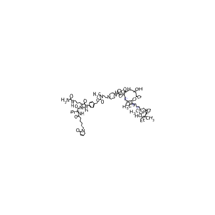 CC[C@H](O)[C@@H](C)[C@H]1O[C@@H]1CC(C)(O)/C=C/C=C(\C)[C@H]1OC(=O)C[C@H](O)CC[C@@](C)(O)[C@@H](OC(=O)N2CCN(CCN(C)C(=O)OCc3ccc(NC(=O)[C@H](CCCNC(N)=O)NC(=O)[C@@H](NC(=O)CCCCCN4CC=CC4=O)C(C)C)cc3)CC2)/C=C/[C@@H]1C